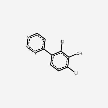 Oc1c(Cl)ccc(-c2ccnnn2)c1Cl